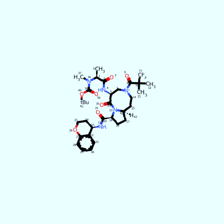 C[C@@H](C(=O)N[C@H]1CN(C(=O)C(C)(C)C(F)(F)F)CC[C@H]2CC[C@@H](C(=O)N[C@@H]3CCOc4ccccc43)N2C1=O)N(C)C(=O)OC(C)(C)C